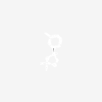 Cc1[c]ccc([C@H]2COC(C)(C)O2)c1